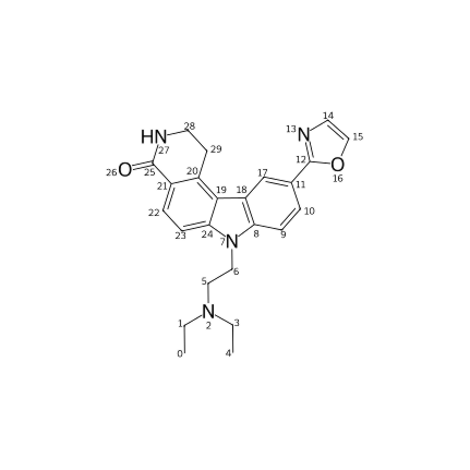 CCN(CC)CCn1c2ccc(-c3ncco3)cc2c2c3c(ccc21)C(=O)NCC3